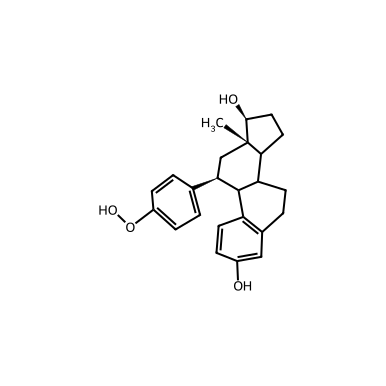 C[C@]12C[C@H](c3ccc(OO)cc3)C3c4ccc(O)cc4CCC3C1CC[C@@H]2O